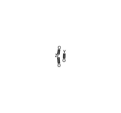 [O]=[Y].[O]=[Zr]=[O]